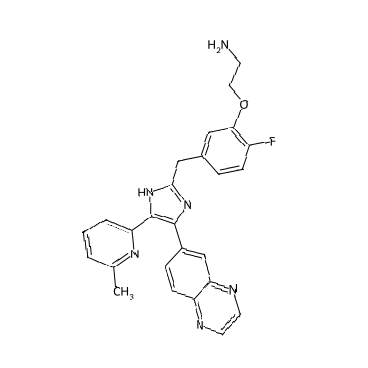 Cc1cccc(-c2[nH]c(Cc3ccc(F)c(OCCN)c3)nc2-c2ccc3nccnc3c2)n1